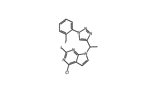 CC(c1cn(-c2ccccc2F)nn1)n1ccc2c(Cl)nc(I)nc21